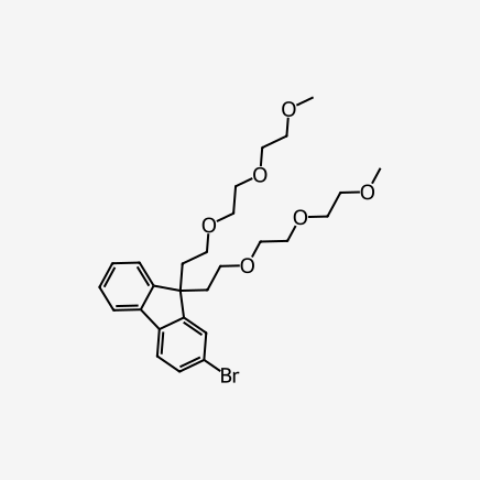 COCCOCCOCCC1(CCOCCOCCOC)c2ccccc2-c2ccc(Br)cc21